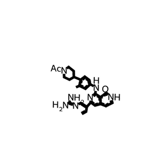 C=C/C(=C\N=C(N)N)c1cc2cc[nH]c(=O)c2c(Nc2ccc(C3CCN(C(C)=O)CC3)c(C)c2)n1